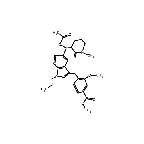 CCCn1cc(Cc2ccc(C(=O)OC)cc2OC)c2cc(C(OC(C)=O)C3CCCN(C)C3=O)ccc21